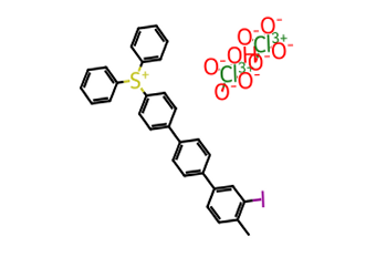 Cc1ccc(-c2ccc(-c3ccc([S+](c4ccccc4)c4ccccc4)cc3)cc2)cc1I.[O-][Cl+3]([O-])([O-])O.[O-][Cl+3]([O-])([O-])[O-]